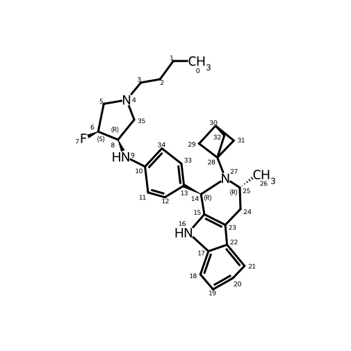 CCCCN1C[C@H](F)[C@H](Nc2ccc([C@@H]3c4[nH]c5ccccc5c4C[C@@H](C)N3C34CC(C3)C4)cc2)C1